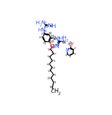 Brc1ccccn1.CCCCCCCCCCCCOc1ccc(NC(=N)N)cc1NC(=N)N